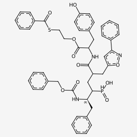 O=C(N[C@H](Cc1ccccc1)C(CC(Cc1cc(-c2ccccc2)no1)C(=O)NC(Cc1ccc(O)cc1)C(=O)OCCSC(=O)c1ccccc1)[PH](=O)O)OCc1ccccc1